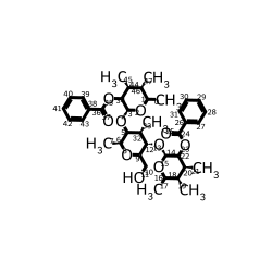 CC1O[C@@H](OC2[C@H](C)OC(CO)[C@@H](O[C@@H]3OC(C)[C@H](C)[C@H](C)C3OC(=O)c3ccccc3)[C@@H]2C)C(OC(=O)c2ccccc2)[C@@H](C)[C@H]1C